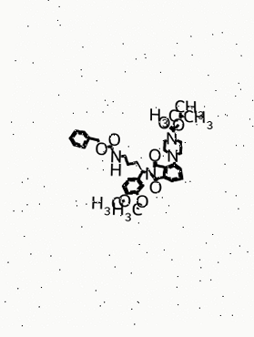 COc1ccc([C@@H](CCCNC(=O)OCc2ccccc2)N2C(=O)c3cccc(N4CCN(C(=O)OC(C)(C)C)CC4)c3C2=O)cc1OC